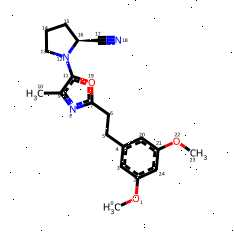 COc1cc(CCc2nc(C)c(N3CCC[C@H]3C#N)o2)cc(OC)c1